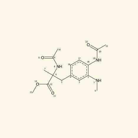 CNc1cc(CC(C)(NC(C)=O)C(=O)OC)ccc1NC(C)=O